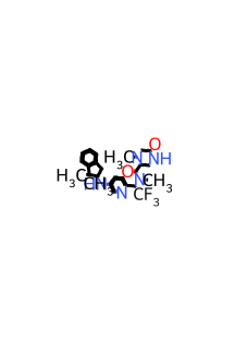 CN1CC(=O)NCC1C(=O)N(C)[C@H](c1ccc(N[C@@H]2Cc3ccccc3C2(C)C)cn1)C(F)(F)F